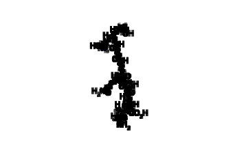 C/C(=N/O)C(C)(C)NCCC(CCNC(=O)CCCC(=O)NCCCC[C@H](NC(=O)CC=CSCC(N)=O)C(=O)N[C@@H](CS)C(=O)NCC(=O)NCC(=O)N[C@@H](CC(=O)O)C(=O)N[C@@H](CS)C(=O)N[C@@H](C)C(N)=O)CCNC(C)(C)/C(C)=N\O